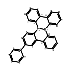 c1ccc(-c2ccc3c(c2)-c2ccccc2B2c4ccccc4-c4ccccc4N23)cc1